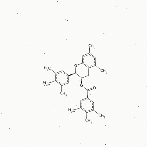 Cc1cc(C)c2c(c1)O[C@H](c1cc(C)c(C)c(C)c1)[C@H](OC(=O)c1cc(C)c(C)c(C)c1)C2